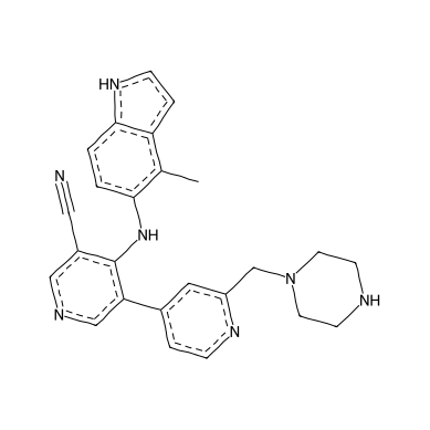 Cc1c(Nc2c(C#N)cncc2-c2ccnc(CN3CCNCC3)c2)ccc2[nH]ccc12